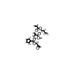 C=C(C)C(=O)OC.C=CC(=O)OCCCC.O=C(OCC1CO1)C1=CCCC1